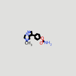 CN1CCn2ncc(-c3ccc(OC(N)=O)cc3)c2C1